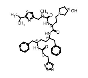 CC(C)c1nc(CN(C)C(=O)N[C@@H](CCN2CC[C@H](O)C2)C(=O)N[C@H](CC[C@H](Cc2ccccc2)NC(=O)OCc2cncs2)Cc2ccccc2)cs1